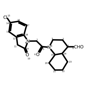 O=CC1CCN(C(=O)CN2C(=O)Cc3cc(Cl)ccc32)C2CCCCC12